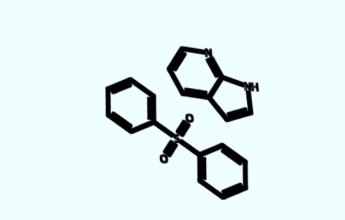 O=S(=O)(c1ccccc1)c1ccccc1.c1cnc2[nH]ccc2c1